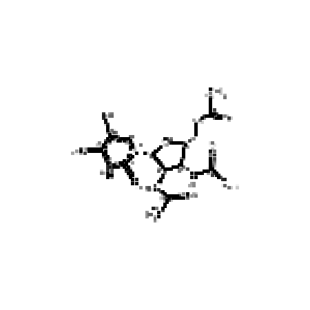 CC(=O)OC[C@H]1O[C@@H](n2cc(F)c(=O)[nH]c2=O)[C@H](OC(C)=O)[C@H]1OC(C)=O